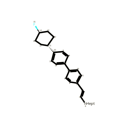 CCCCCCCC=Cc1ccc(-c2ccc([C@H]3CC[C@H](F)CC3)cc2)cc1